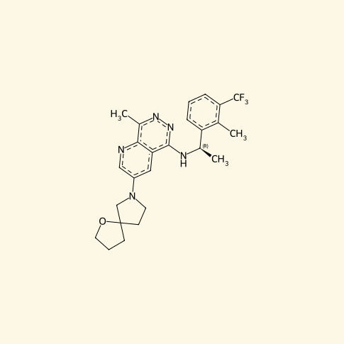 Cc1c([C@@H](C)Nc2nnc(C)c3ncc(N4CCC5(CCCO5)C4)cc23)cccc1C(F)(F)F